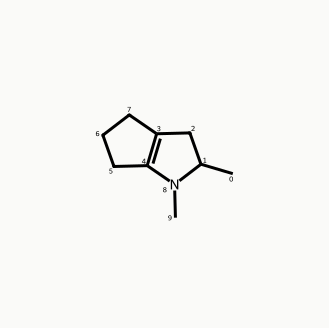 CC1CC2=C(CCC2)N1C